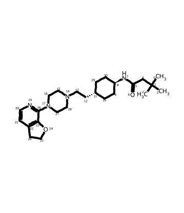 CC(C)(C)CC(=O)N[C@H]1CC[C@H](CCN2CCN(c3nccc4c3OCC4)CC2)CC1